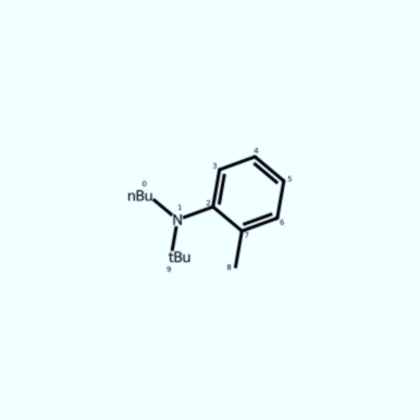 CCCCN(c1ccccc1C)C(C)(C)C